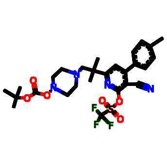 Cc1ccc(-c2cc(C(C)(C)CN3CCN(OC(=O)OC(C)(C)C)CC3)nc(OS(=O)(=O)C(F)(F)F)c2C#N)cc1